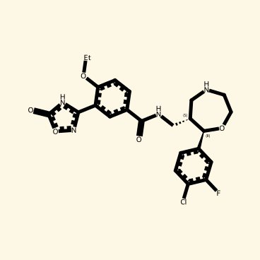 CCOc1ccc(C(=O)NC[C@@H]2CNCCO[C@H]2c2ccc(Cl)c(F)c2)cc1-c1noc(=O)[nH]1